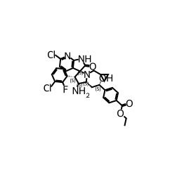 CCOC(=O)c1ccc([C@@H](O)C[C@H]2[C@@H](N)[C@H](c3cccc(Cl)c3F)[C@]3(C(=O)Nc4nc(Cl)ccc43)N2CC2CC2)cc1